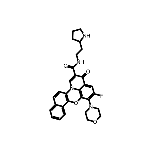 O=C(NCCC1CCCN1)c1cn2c3c(c(N4CCOCC4)c(F)cc3c1=O)Oc1c-2ccc2ccccc12